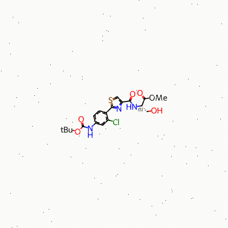 COC(=O)[C@H](CO)NC(=O)c1csc(-c2ccc(NC(=O)OC(C)(C)C)cc2Cl)n1